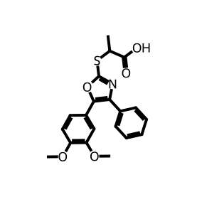 COc1ccc(-c2oc(SC(C)C(=O)O)nc2-c2ccccc2)cc1OC